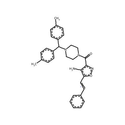 Cc1ccc(C(c2ccc(C)cc2)N2CCN(C(=O)c3noc(/C=C/c4ccccc4)c3N)CC2)cc1